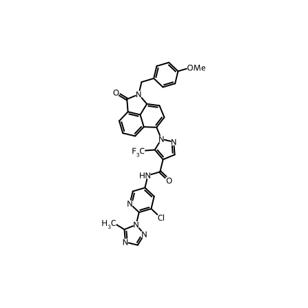 COc1ccc(CN2C(=O)c3cccc4c(-n5ncc(C(=O)Nc6cnc(-n7ncnc7C)c(Cl)c6)c5C(F)(F)F)ccc2c34)cc1